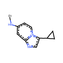 CCNc1ccn2c(C3CC3)cnc2c1